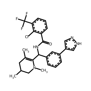 CC1=C(C(NC(=O)c2cccc(C(F)(F)F)c2Cl)c2cccc(-c3cn[nH]c3)c2)N(C)CC(C)C1